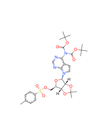 Cc1ccc(S(=O)(=O)OC[C@H]2O[C@@H](n3ccc4c(N(C(=O)OC(C)(C)C)C(=O)OC(C)(C)C)ncnc43)[C@@H]3OC(C)(C)O[C@@H]32)cc1